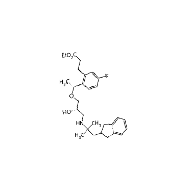 CCOC(=O)CCc1cc(F)ccc1[C@@H](C)OC[C@@H](O)CNC(C)(C)CC1Cc2ccccc2C1